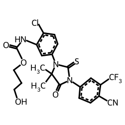 CC1(C)C(=O)N(c2ccc(C#N)c(C(F)(F)F)c2)C(=S)N1c1ccc(Cl)c(NC(=O)OCCCO)c1